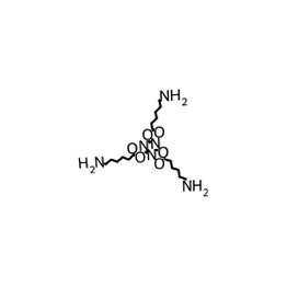 NCCCCCC(=O)Oc1nc(OC(=O)CCCCCN)nc(OC(=O)CCCCCN)n1